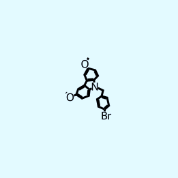 COc1ccc2c(c1)c1cc(OC)ccc1n2Cc1ccc(Br)cc1